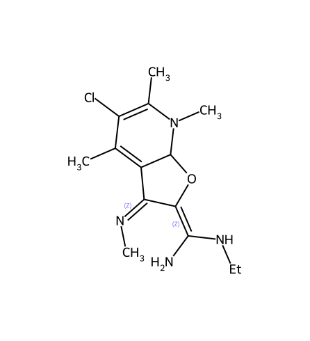 CCN/C(N)=C1\OC2C(=C(C)C(Cl)=C(C)N2C)\C1=N\C